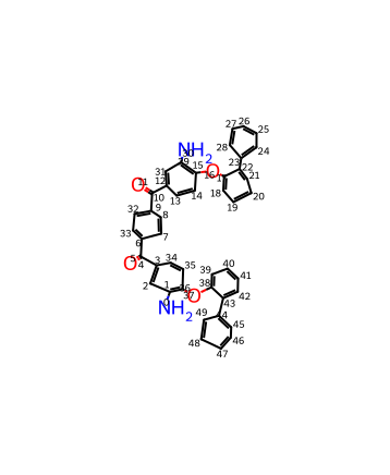 Nc1cc(C(=O)c2ccc(C(=O)c3ccc(Oc4ccccc4-c4ccccc4)c(N)c3)cc2)ccc1Oc1ccccc1-c1ccccc1